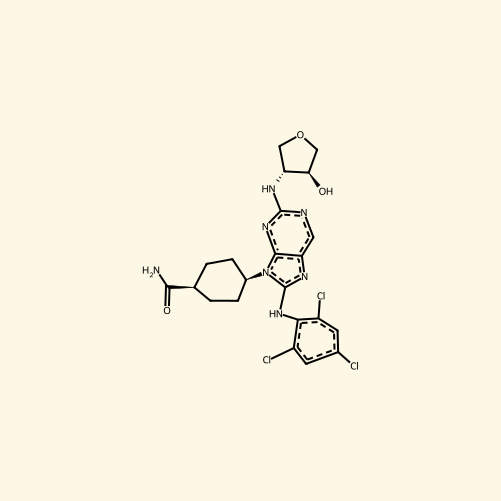 NC(=O)[C@H]1CC[C@@H](n2c(Nc3c(Cl)cc(Cl)cc3Cl)nc3cnc(N[C@@H]4COC[C@H]4O)nc32)CC1